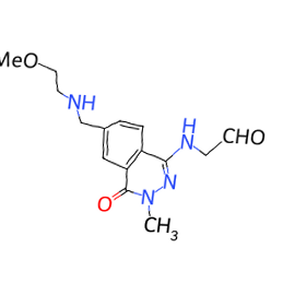 COCCNCc1ccc2c(NCC=O)nn(C)c(=O)c2c1